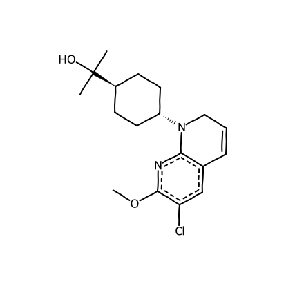 COc1nc2c(cc1Cl)C=CCN2[C@H]1CC[C@H](C(C)(C)O)CC1